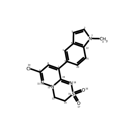 Cn1ccc2cc(C3=CC(Cl)=NN4CCS(=O)(=O)N=C34)ccc21